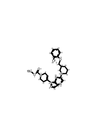 CC(C)(C)OC(=O)N1CC=C(n2ncc3ncc(N4CCCC(COc5ccccc5C(F)(F)F)C4)nc32)CC1